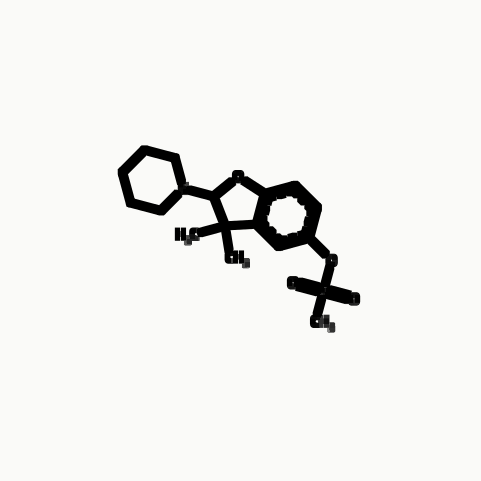 CC1(C)c2cc(OS(C)(=O)=O)ccc2OC1N1CCCCC1